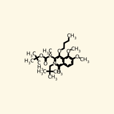 CCCCOc1c(N(C)C(=O)OC(C)(C)C)n(CC(C)(C)C)c(=O)c2ccc(OC)c(OC)c12